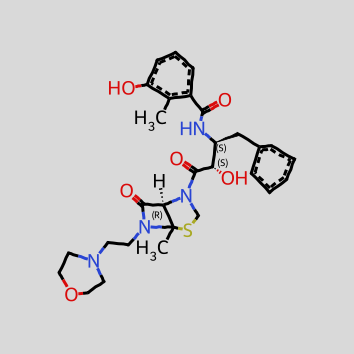 Cc1c(O)cccc1C(=O)N[C@@H](Cc1ccccc1)[C@H](O)C(=O)N1CSC2(C)[C@H]1C(=O)N2CCN1CCOCC1